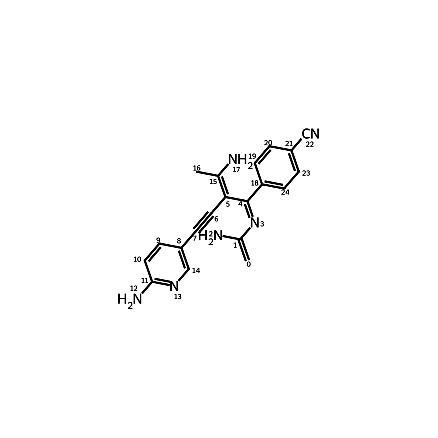 C=C(N)/N=C(\C(C#Cc1ccc(N)nc1)=C(\C)N)c1ccc(C#N)cc1